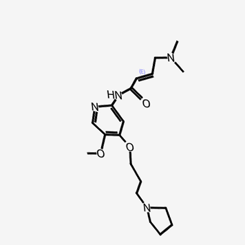 COc1cnc(NC(=O)/C=C/CN(C)C)cc1OCCCN1CCCC1